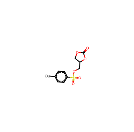 CCC(C)c1ccc(S(=O)(=O)OCC2COC(=O)O2)cc1